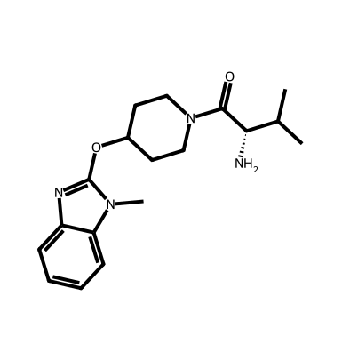 CC(C)[C@H](N)C(=O)N1CCC(Oc2nc3ccccc3n2C)CC1